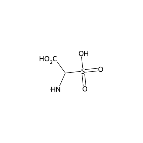 [NH]C(C(=O)O)S(=O)(=O)O